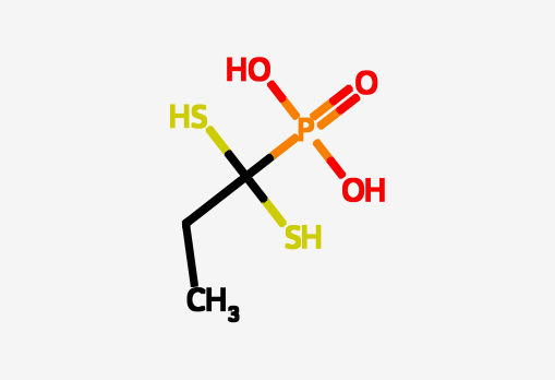 CCC(S)(S)P(=O)(O)O